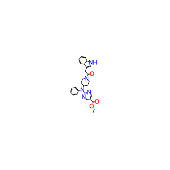 CCOC(=O)c1cnc(N(c2ccccc2)C2CCN(C(=O)CC3=CNC4C=CC=CC34)CC2)nc1